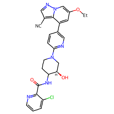 CCOc1cc(-c2ccc(N3CCC(NC(=O)c4ncccc4Cl)[C@H](O)C3)nc2)c2c(C#N)cnn2c1